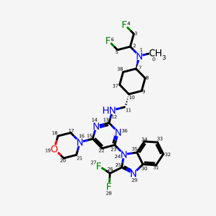 CN(C(CF)CF)[C@H]1CC[C@H](CNc2nc(N3CCOCC3)cc(-n3c(C(F)F)nc4ccccc43)n2)CC1